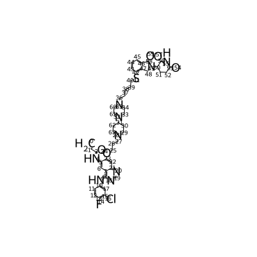 C=CC(=O)Nc1cc2c(Nc3ccc(F)c(Cl)c3)ncnc2cc1OCCCN1CCC(N2CCN(CCCCCSc3cccc4c3CN(C3CCC(=O)NC3=O)C4=O)CC2)CC1